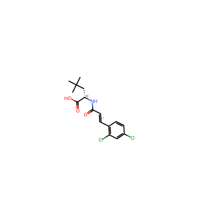 CC(C)(C)C[C@H](NC(=O)/C=C/c1ccc(Cl)cc1Cl)C(=O)O